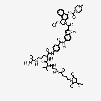 CC(C)[C@H](NCCNC(=O)CCCN1C(=O)CC(S)C1=O)C(=O)N[C@@H](CCCNC(N)=O)C(=O)Nc1ccc(C(=O)Nc2ccc3[nH]c(C(=O)N4C[C@@H](CCl)c5c4cc(OC(=O)N4CCN(C)CC4)c4ccccc54)cc3c2)cc1